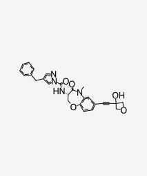 CN1C(=O)[C@@H](NC(=O)n2cc(Cc3ccccc3)cn2)COc2ccc(C#CC3(O)COC3)cc21